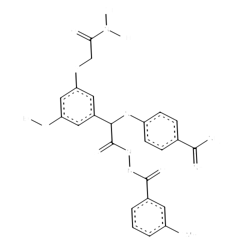 CCOc1cc(OCC(=O)N(C)C)cc(C(Nc2ccc(C(=N)N)cc2)C(=O)NNC(=O)c2cccc(OC)c2)c1